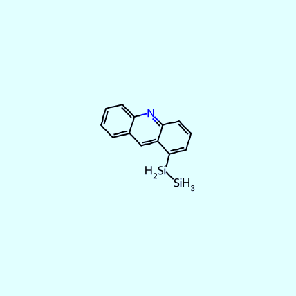 [SiH3][SiH2]c1cccc2nc3ccccc3cc12